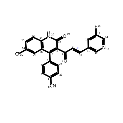 N#Cc1ccc(-c2c(C(=O)/C=C/c3cncc(F)c3)c(=O)[nH]c3ccc(Cl)cc23)cc1